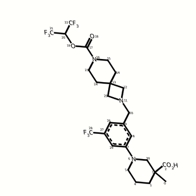 CC1(C(=O)O)CCCN(c2cc(CN3CC4(CCN(C(=O)OC(C(F)(F)F)C(F)(F)F)CC4)C3)cc(C(F)(F)F)c2)C1